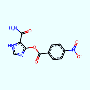 NC(=O)c1[nH]cnc1OC(=O)c1ccc([N+](=O)[O-])cc1